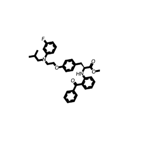 COC(=O)[C@H](Cc1ccc(OCCN(CC(C)C)c2cccc(F)c2)cc1)Nc1ccccc1C(=O)c1ccccc1